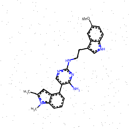 COc1ccc2[nH]cc(CCNc3ncc(-c4cccc5c4cc(C)n5C)c(N)n3)c2c1